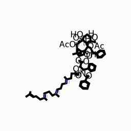 CC(=O)O[C@H]1C(=O)[C@@]2(C)[C@H](C(CC(=O)c3ccccc3)[C@]3(O)CC(OC(=O)C(OC(=O)CC/C(C)=C/CC/C=C(\C)CC/C=C(\C)CCC=C(C)C)[C@@H](NC(=O)c4ccccc4)c4ccccc4)C(C)=C1C3(C)C)[C@]1(OC(C)=O)CO[C@@H]1C[C@@H]2O